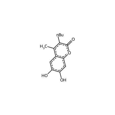 CCCCc1c(C)c2cc(O)c(O)cc2oc1=O